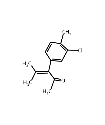 CC(=O)C(=C(C)C)c1ccc(C)c(Cl)c1